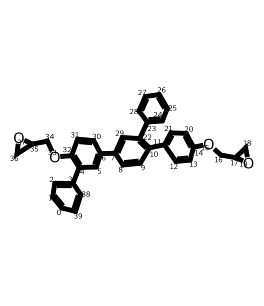 c1ccc(-c2cc(-c3ccc(-c4ccc(OCC5CO5)cc4)c(-c4ccccc4)c3)ccc2OCC2CO2)cc1